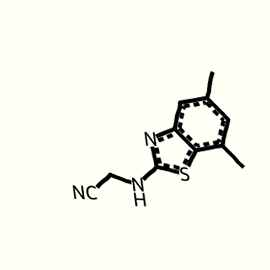 Cc1cc(C)c2sc(NCC#N)nc2c1